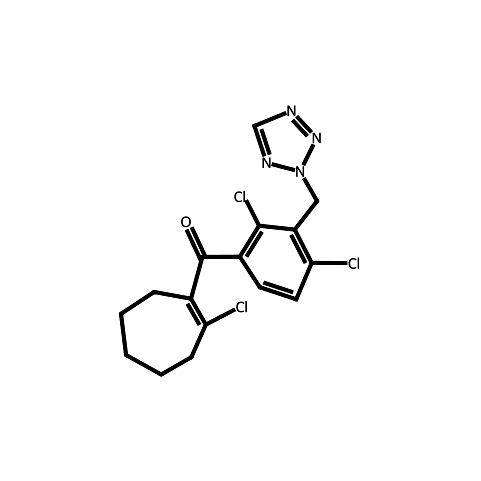 O=C(C1=C(Cl)CCCCC1)c1ccc(Cl)c(Cn2ncnn2)c1Cl